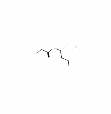 CC(C)CC(=O)N[C@@H](CCC(=O)O)C(=O)O